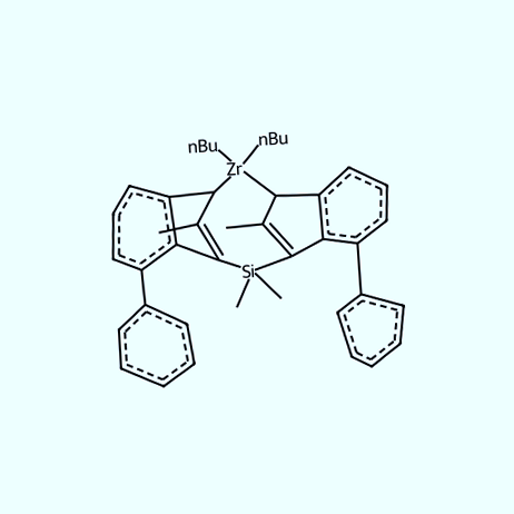 CCC[CH2][Zr]1([CH2]CCC)[CH]2C(C)=C(c3c(-c4ccccc4)cccc32)[Si](C)(C)C2=C(C)[CH]1c1cccc(-c3ccccc3)c12